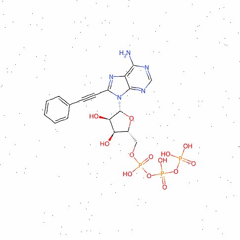 Nc1ncnc2c1nc(C#Cc1ccccc1)n2[C@@H]1O[C@H](COP(=O)(O)OP(=O)(O)OP(=O)(O)O)[C@@H](O)[C@H]1O